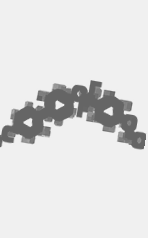 Cc1ccc(-c2ccc(OC(F)(F)c3ccc(OCO)cc3)cc2)cc1